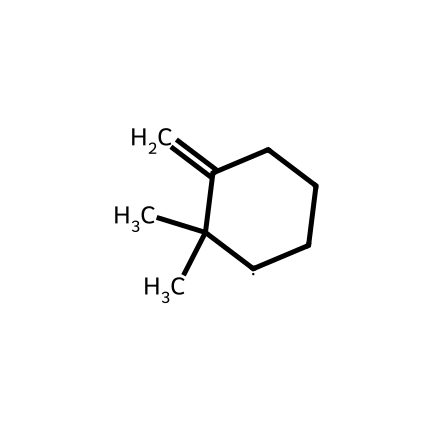 C=C1CCC[CH]C1(C)C